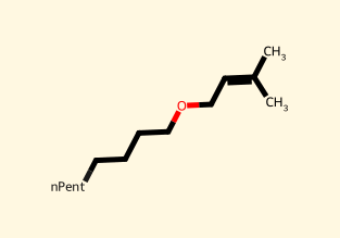 CCCCCCCCCOCC=C(C)C